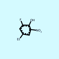 CCc1cc(F)c(O)c([N+](=O)[O-])c1